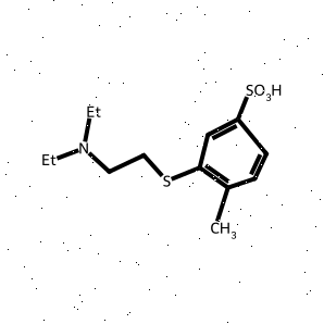 CCN(CC)CCSc1cc(S(=O)(=O)O)ccc1C